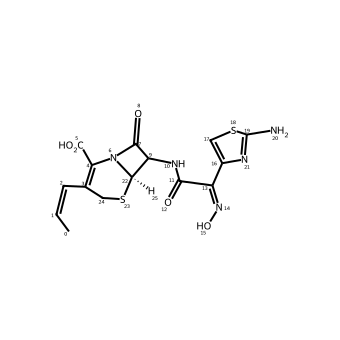 C/C=C\C1=C(C(=O)O)N2C(=O)C(NC(=O)/C(=N\O)c3csc(N)n3)[C@H]2SC1